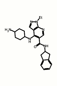 CCn1ncc2c(NC3CCC(N)CC3)c(C(=O)NC3Cc4ccccc4C3)cnc21